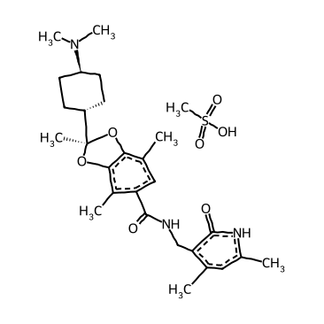 CS(=O)(=O)O.Cc1cc(C)c(CNC(=O)c2cc(C)c3c(c2C)O[C@@](C)([C@H]2CC[C@H](N(C)C)CC2)O3)c(=O)[nH]1